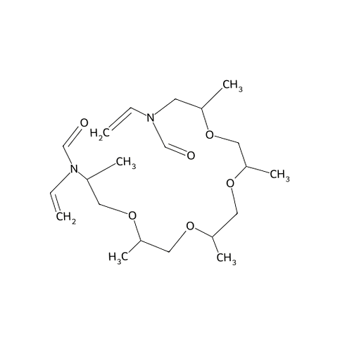 C=CN(C=O)CC(C)OCC(C)OCC(C)OCC(C)OCC(C)N(C=C)C=O